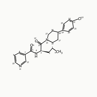 CCC[C@@H](NC(=O)c1cccnc1)C(=O)N1CCC(c2ccc(Cl)cc2)CC1